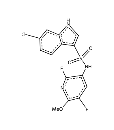 COc1nc(F)c(NS(=O)(=O)c2c[nH]c3cc(Cl)ccc23)cc1F